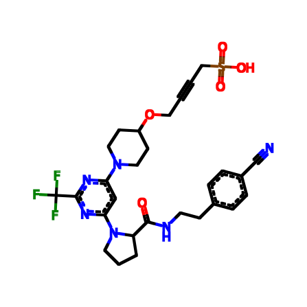 N#Cc1ccc(CCNC(=O)C2CCCN2c2cc(N3CCC(OCC#CCS(=O)(=O)O)CC3)nc(C(F)(F)F)n2)cc1